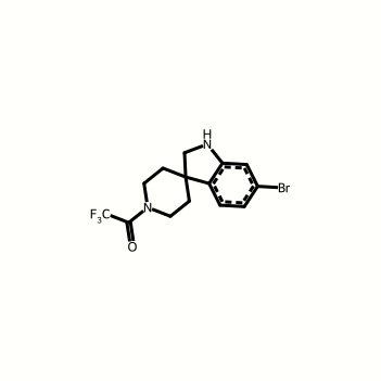 O=C(N1CCC2(CC1)CNc1cc(Br)ccc12)C(F)(F)F